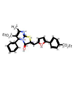 CCOC(=O)C1=C(C)N=c2s/c(=C\c3ccc(-c4ccc(C(=O)OCC)cc4)o3)c(=O)n2C1c1ccccc1